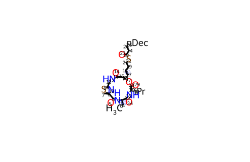 C/C=C1\NC(=O)c2csc(n2)CNC(=O)C[C@@H](/C=C/CCSC(=O)CCCCCCCCCCCC)OC(=O)[C@H](C(C)C)NC1=O